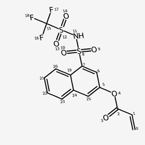 C=CC(=O)Oc1cc(S(=O)(=O)NS(=O)(=O)C(F)(F)F)c2ccccc2c1